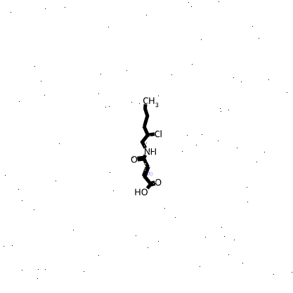 CCCCC(Cl)CNC(=O)/C=C/C(=O)O